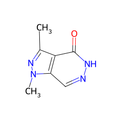 Cc1nn(C)c2cn[nH]c(=O)c12